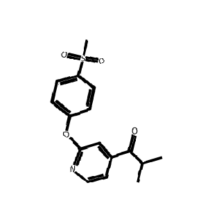 CC(C)C(=O)c1ccnc(Oc2ccc(S(C)(=O)=O)cc2)c1